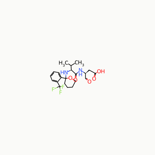 CC(C)[C@H](NC1(c2ccccc2C(F)(F)F)CCCCO1)C(=O)N[C@H](C=O)CC(=O)O